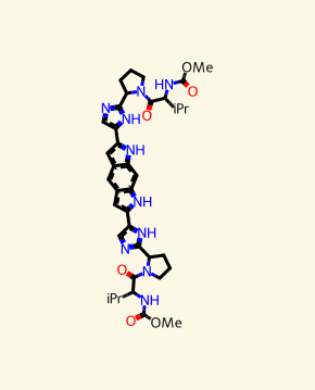 COC(=O)NC(C(=O)N1CCCC1c1ncc(-c2cc3cc4cc(-c5cnc(C6CCCN6C(=O)C(NC(=O)OC)C(C)C)[nH]5)[nH]c4cc3[nH]2)[nH]1)C(C)C